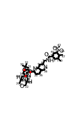 Cc1cc(C(=O)NCc2cc3nc(-c4cccc(N5[C@@H]6COC[C@H]5CN(C(=O)OC(C)(C)C)C6)n4)ccc3cn2)cc(S(C)(=O)=O)c1C